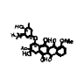 COc1cccc2c1C(=O)c1c(O)c3c(c(O)c1C2=O)C[C@@](O)(C(C)=O)C[C@@H]3O[C@@H]1CC(C)[C@@H](O)C(N)C1